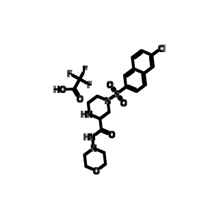 O=C(NN1CCOCC1)C1CN(S(=O)(=O)c2ccc3cc(Cl)ccc3c2)CCN1.O=C(O)C(F)(F)F